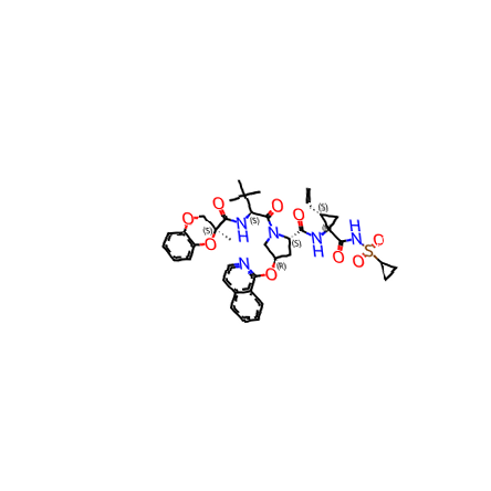 C=C[C@@H]1C[C@]1(NC(=O)[C@@H]1C[C@@H](Oc2nccc3ccccc23)CN1C(=O)[C@@H](NC(=O)[C@]1(C)COc2ccccc2O1)C(C)(C)C)C(=O)NS(=O)(=O)C1CC1